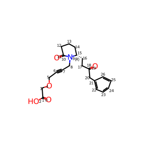 O=C(O)COCC#CCN1C(=O)CCC[C@@H]1CCC(=O)Cc1ccccc1